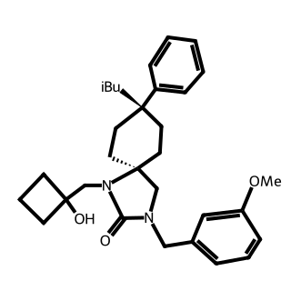 CCC(C)[C@]1(c2ccccc2)CC[C@]2(CC1)CN(Cc1cccc(OC)c1)C(=O)N2CC1(O)CCC1